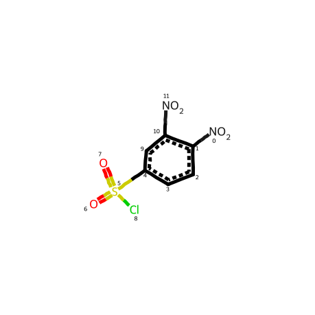 O=[N+]([O-])c1ccc(S(=O)(=O)Cl)cc1[N+](=O)[O-]